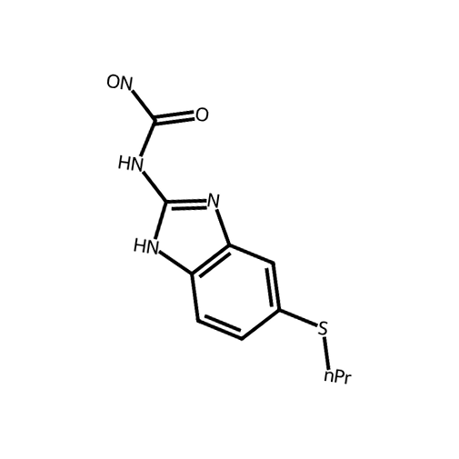 CCCSc1ccc2[nH]c(NC(=O)N=O)nc2c1